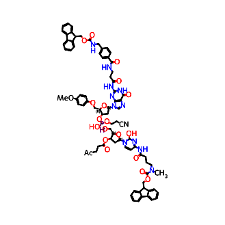 COc1ccc(OC[C@H]2O[C@@H](n3cnc4c(=O)[nH]c(NC(=O)CCNC(=O)c5ccc(CNC(=O)OCC6c7ccccc7-c7ccccc76)cc5)nc43)CC2O[PH](O)(OCCC#N)OC[C@H]2O[C@@H](N3C=CC(NC(=O)CCCN(C)C(=O)OCC4c5ccccc5-c5ccccc54)=NC3O)CC2OC(=O)CCC(C)=O)cc1